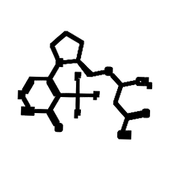 CC(CC(=O)O)OC[C@@H]1CCCN1c1cn[nH]c(=O)c1C(F)(F)F